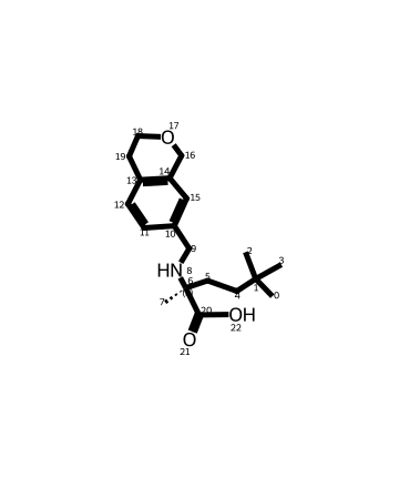 CC(C)(C)CC[C@](C)(NCc1ccc2c(c1)COCC2)C(=O)O